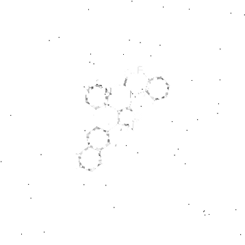 CC(=O)N(c1ccccc1F)c1onc(-c2ccc3ccccc3c2)c1-c1ccncn1